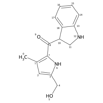 Cc1cc(CO)[nH]c1C(=O)C1CNc2ccccc21